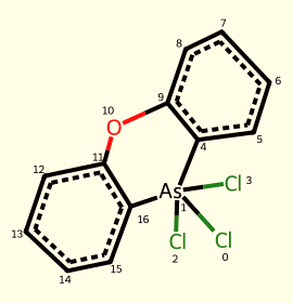 Cl[As]1(Cl)(Cl)c2ccccc2Oc2ccccc21